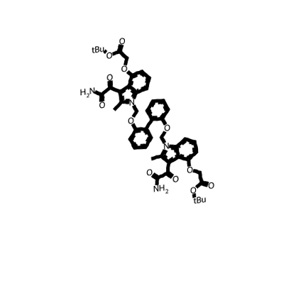 Cc1c(C(=O)C(N)=O)c2c(OCC(=O)OC(C)(C)C)cccc2n1COc1ccccc1-c1ccccc1OCn1c(C)c(C(=O)C(N)=O)c2c(OCC(=O)OC(C)(C)C)cccc21